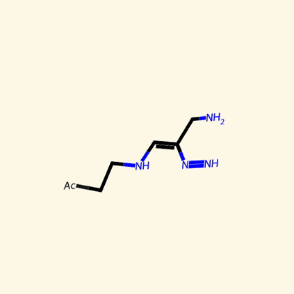 CC(=O)CCN/C=C(/CN)N=N